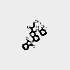 CCCC(=O)c1cnc2c(N3C(=O)c4ccccc4C3=O)cccc2c1Nc1ccccc1C